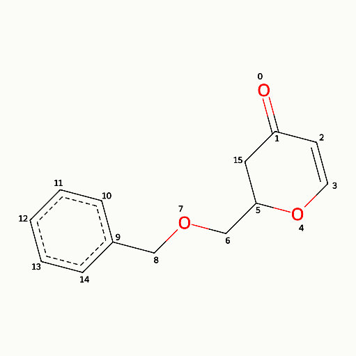 O=C1C=COC(COCc2ccccc2)C1